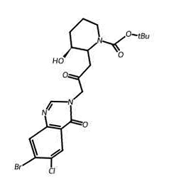 CC(C)(C)OC(=O)N1CCC[C@H](O)C1CC(=O)Cn1cnc2cc(Br)c(Cl)cc2c1=O